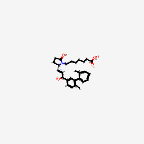 Cc1ccccc1-c1cc(C(O)/C=C/[C@H]2CCC(=O)N2CCCCCCC(=O)O)ccc1C